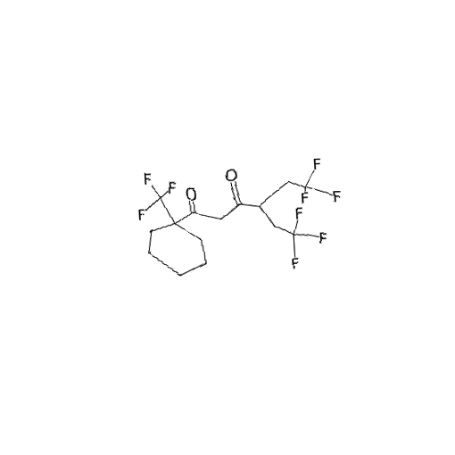 O=C(CC(=O)C1(C(F)(F)F)CCCCC1)C(CC(F)(F)F)CC(F)(F)F